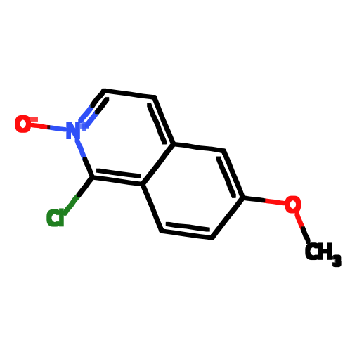 COc1ccc2c(Cl)[n+]([O-])ccc2c1